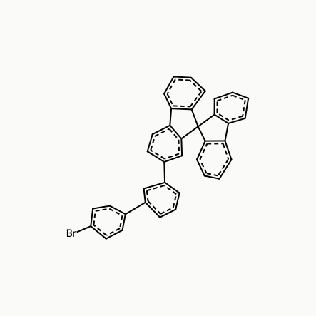 Brc1ccc(-c2cccc(-c3ccc4c(c3)C3(c5ccccc5-c5ccccc53)c3ccccc3-4)c2)cc1